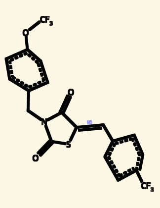 O=C1S/C(=C\c2ccc(C(F)(F)F)cc2)C(=O)N1Cc1ccc(OC(F)(F)F)cc1